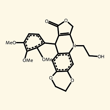 COc1ccc(C2C3=C(COC3=O)N(CCO)c3cc4c(cc32)OCCO4)c(OC)c1OC